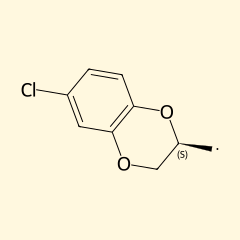 [CH2][C@H]1COc2cc(Cl)ccc2O1